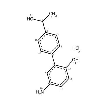 CC(O)c1ccc(-c2cc(N)ccc2O)cc1.Cl